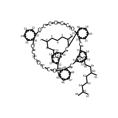 CC(C)CCCC(C)CCOc1c2cccc1Cc1cccc3c1OCCOCCOc1ccccc1OCCOCCOc1c(cccc1Cc1cccc(c1OCCC(C)CCCC(C)C)C3)C2